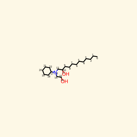 CCCCCCCCCCC(O)CN(CCO)C1CCCCC1